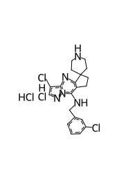 Cl.Cl.Clc1cccc(CNc2c3c(nc4c(Cl)cnn24)C2(CCNCC2)CC3)c1